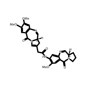 COc1cc2c(cc1NC(=O)CC1=CN3C(=O)c4cc(OC)c(OC)cc4N=C[C@@H]3C1)N=C[C@@H]1CCCN1C2=O